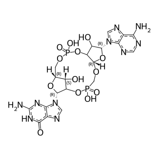 Nc1nc2c(ncn2[C@@H]2O[C@@H]3COP(=O)(O)OC4C(O)[C@H](n5cnc6c(N)ncnc65)O[C@@H]4OCP(=O)(O)OC2[C@H]3O)c(=O)[nH]1